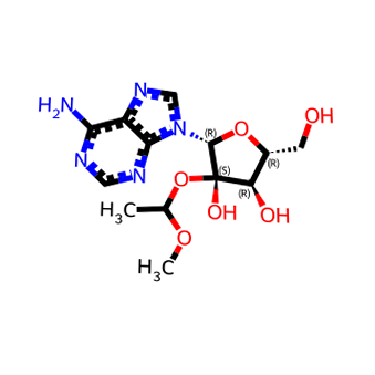 COC(C)O[C@@]1(O)[C@H](O)[C@@H](CO)O[C@H]1n1cnc2c(N)ncnc21